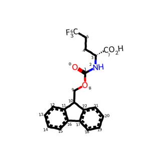 O=C(N[C@H](CCC(F)(F)F)C(=O)O)OCC1c2ccccc2-c2ccccc21